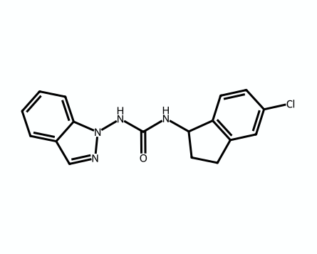 O=C(NC1CCc2cc(Cl)ccc21)Nn1ncc2ccccc21